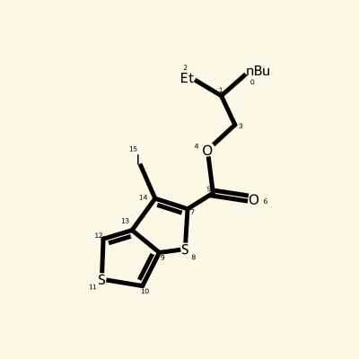 CCCCC(CC)COC(=O)c1sc2cscc2c1I